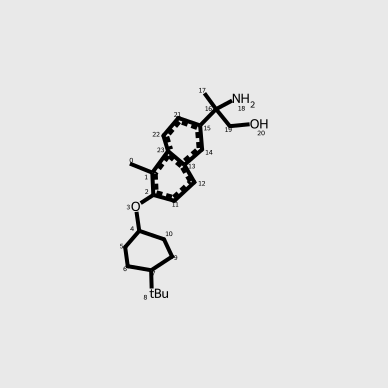 Cc1c(OC2CCC(C(C)(C)C)CC2)ccc2cc(C(C)(N)CO)ccc12